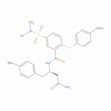 COc1ccc(Sc2ccc(S(=O)(=O)N(C)C(C)C)cc2C(=O)N[C@@H](CC(N)=O)Cc2ccc(C(C)(C)C)cc2)cc1